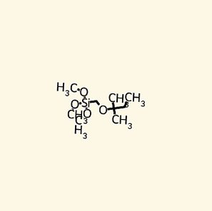 CCC(C)(C)OC[Si](OC)(OC)OC